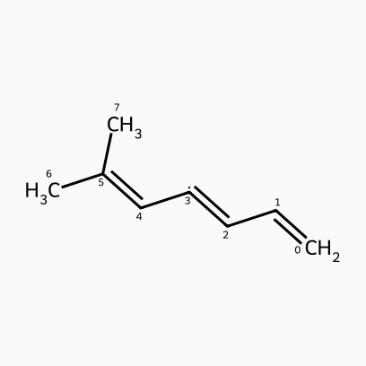 C=C/C=[C]/C=C(C)C